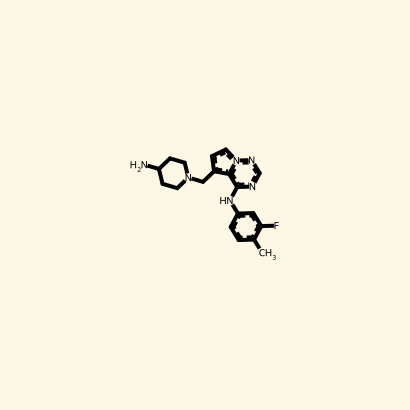 Cc1ccc(Nc2ncnn3ccc(CN4CCC(N)CC4)c23)cc1F